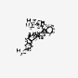 CN1CCc2c(sc(Br)c2CNC(=O)Nc2sc3c(c2C(=O)OC(C)(C)C)CCCCC3)C1